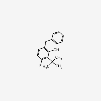 CC(C)(C)c1c(F)ccc(Cc2ccccc2)c1O